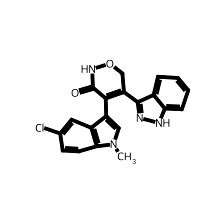 Cn1cc(C2=C(c3n[nH]c4ccccc34)CONC2=O)c2cc(Cl)ccc21